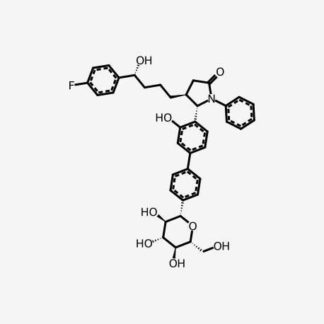 O=C1C[C@H](CCC[C@@H](O)c2ccc(F)cc2)[C@@H](c2ccc(-c3ccc([C@@H]4O[C@H](CO)[C@@H](O)[C@H](O)[C@H]4O)cc3)cc2O)N1c1ccccc1